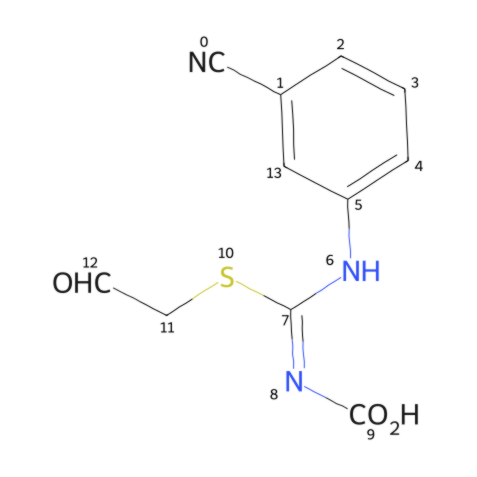 N#Cc1cccc(N/C(=N\C(=O)O)SCC=O)c1